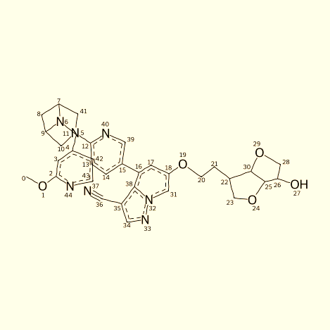 COc1cc(CN2C3CC2CN(c2ccc(-c4cc(OCCC5COC6C(O)COC56)cn5ncc(C#N)c45)cn2)C3)ccn1